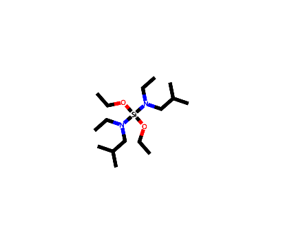 CCO[Si](OCC)(N(CC)CC(C)C)N(CC)CC(C)C